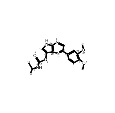 COc1ccc(-c2cnc3[nH]cc(OC(=O)NC(C)C)c3n2)cc1OC